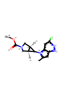 Cc1cc2nnc(Cl)cc2n1C1[C@H]2CN(C(=O)OC(C)(C)C)C[C@@H]12